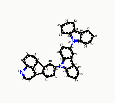 c1cc2c3c(ccnc3c1)-c1ccc(-n3c4ccccc4c4cc(-n5c6ccccc6c6ccccc65)ccc43)cc1-2